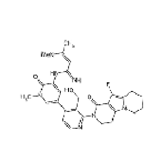 CN/C(C)=C\C(=N)Nc1cc(-c2ccnc(N3CCc4c(c(F)c5n4CCCC5)C3=O)c2CO)cn(C)c1=O